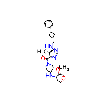 CO[C@H]1COCCC1NC1CCN(C(=O)c2ncnc(NC[C@H]3C[C@@H](c4ccccc4)C3)c2C)CC1